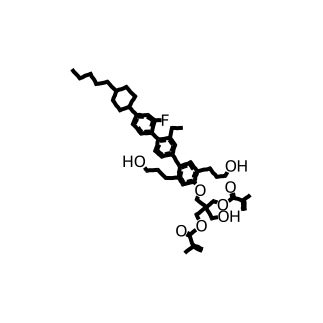 C=C(C)C(=O)OCC(CO)(COC(=O)C(=C)C)COc1cc(CCCO)c(-c2ccc(-c3ccc(C4CCC(CCCCC)CC4)cc3F)c(CC)c2)cc1CCCO